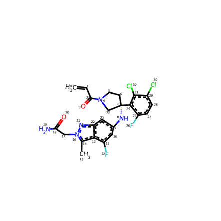 C=CC(=O)N1CC[C@@](Nc2cc(F)c3c(C)n(CC(N)=O)nc3c2)(c2c(F)ccc(Cl)c2Cl)C1